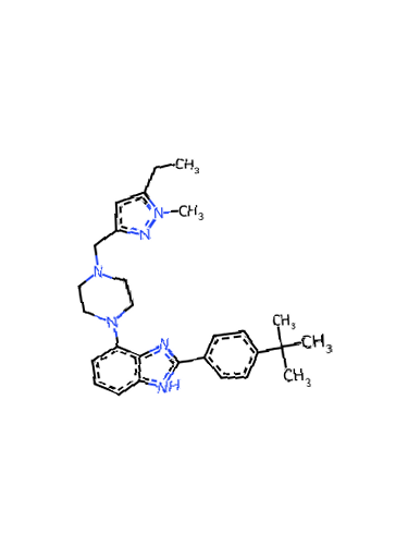 CCc1cc(CN2CCN(c3cccc4[nH]c(-c5ccc(C(C)(C)C)cc5)nc34)CC2)nn1C